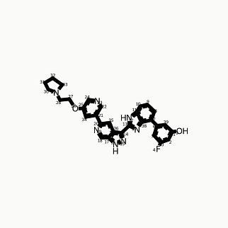 Oc1cc(F)cc(-c2cccc3[nH]c(-c4n[nH]c5cnc(-c6cncc(OCCN7CCCC7)c6)cc45)nc23)c1